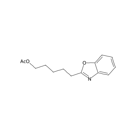 CC(=O)OCCCCCc1nc2ccccc2o1